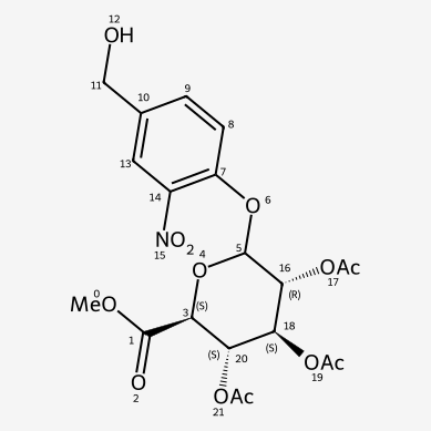 COC(=O)[C@H]1OC(Oc2ccc(CO)cc2[N+](=O)[O-])[C@H](OC(C)=O)[C@@H](OC(C)=O)[C@@H]1OC(C)=O